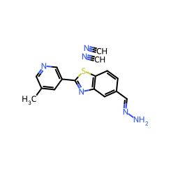 C#N.C#N.Cc1cncc(-c2nc3cc(C=NN)ccc3s2)c1